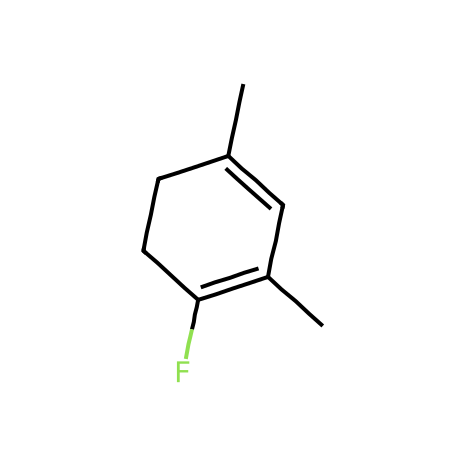 CC1=CC(C)=C(F)CC1